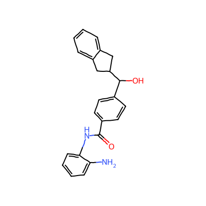 Nc1ccccc1NC(=O)c1ccc(C(O)C2Cc3ccccc3C2)cc1